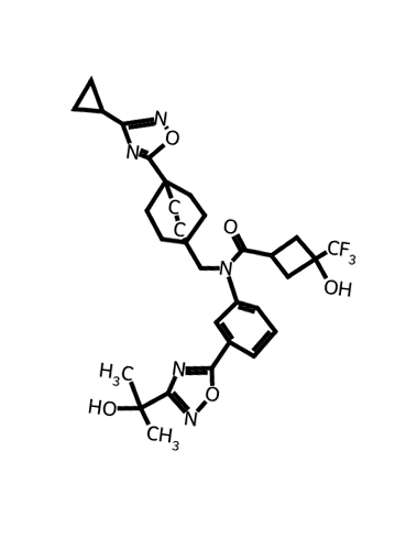 CC(C)(O)c1noc(-c2cccc(N(CC34CCC(c5nc(C6CC6)no5)(CC3)CC4)C(=O)C3CC(O)(C(F)(F)F)C3)c2)n1